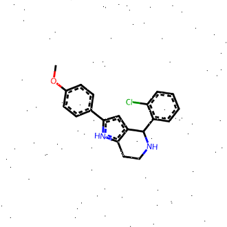 COc1ccc(-c2cc3c([nH]2)CCNC3c2ccccc2Cl)cc1